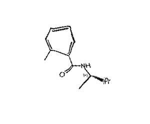 Cc1ccccc1C(=O)N[C@H](C)C(C)C